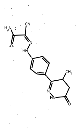 CC1CC(=O)NN=C1c1ccc(NN=C(C#N)C(N)=O)cc1